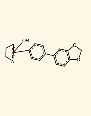 OC1(c2ccc(-c3ccc4c(c3)OCO4)cc2)CN2CCC1CC2